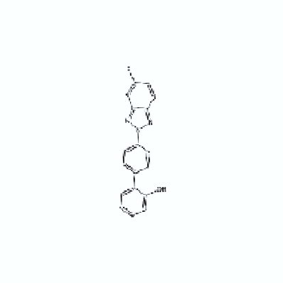 Oc1ccccc1-c1ccc(-n2nc3ccc(F)cc3n2)cc1